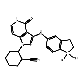 N#CC1CCCCC1n1nc(Nc2ccc3c(c2)CCS3(O)O)c2c(=O)[nH]ccc21